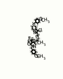 COc1ccc(CN2CCn3nc(COC[C@H](C)Nc4cnn(Cc5ccc(OC)cc5)c(=O)c4C(F)(F)F)c(Cl)c3C2)cc1